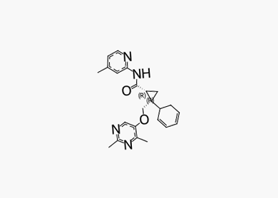 Cc1ccnc(NC(=O)[C@@H]2C[C@@]2(COc2cnc(C)nc2C)C2C=CC=CC2)c1